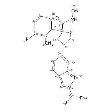 Cc1c(F)cccc1[C@]1(C(=O)NO)CC[C@H](c2ccc3cn(C(F)F)nc3c2)C1